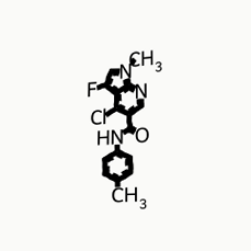 Cc1ccc(NC(=O)c2cnc3c(c(F)cn3C)c2Cl)cc1